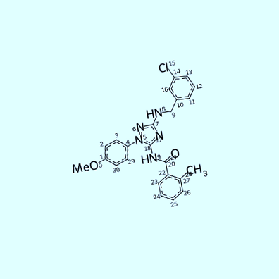 COc1ccc(-n2nc(NCc3cccc(Cl)c3)nc2NC(=O)c2ccccc2C)cc1